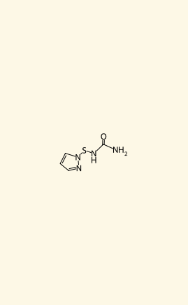 NC(=O)NSn1cccn1